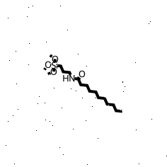 CCCCC[CH]CCCCC(=O)NCCC[Si](OC)(OC)OC